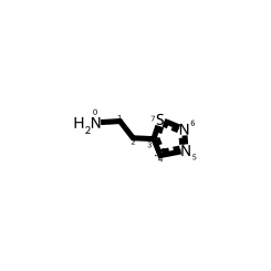 NCCc1[c]nns1